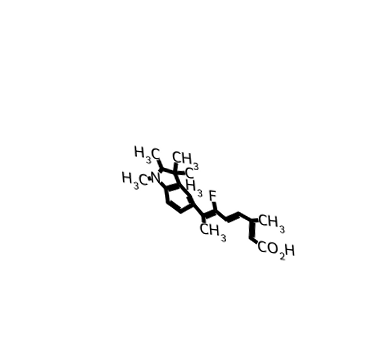 CC(C=CC(F)=C(C)c1ccc2c(c1)C(C)(C)C(C)N2C)=CC(=O)O